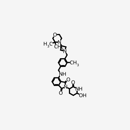 Cc1cc(CNc2cccc3c2C(=O)N(C2CCC(O)NC2=O)C3=O)ccc1CN1CC(N2CCOCC2(C)C)C1